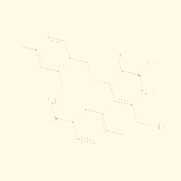 Cc1ccc(C(N)=O)cc1-c1c(CO)[nH]c(=O)c(Br)c1OCc1ccc(F)cc1F